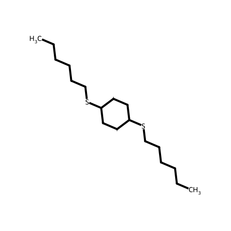 CCCCCCSC1[CH]CC(SCCCCCC)[CH]C1